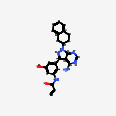 C=CC(=O)Nc1cc(O)cc(-c2nn(C3CCc4ccccc4C3)c3ncnc(N)c23)c1